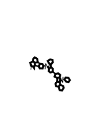 c1ccc(-n2c3ccc(-c4ccc5c(c4)c4ccccc4n5-c4ccc5c(c4)-c4cccc6ccnc-5c46)cc3c3ccc4ccccc4c32)cc1